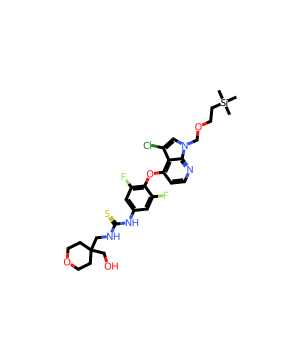 C[Si](C)(C)CCOCn1cc(Cl)c2c(Oc3c(F)cc(NC(=S)NCC4(CO)CCOCC4)cc3F)ccnc21